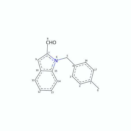 Cc1ccc(Cn2c(C=O)cc3ccccc32)cc1